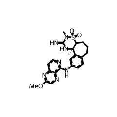 COc1cnc2c(Nc3ccc4c(c3)[C@@]3(C)NC(=N)N(C)S(=O)(=O)C3CCC4)nccc2n1